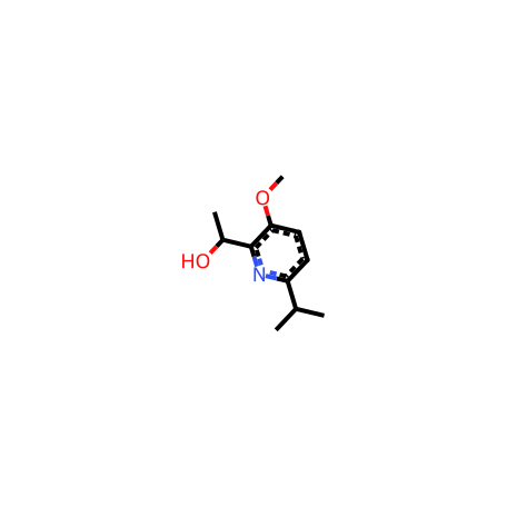 COc1ccc(C(C)C)nc1C(C)O